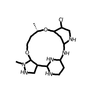 C[C@H]1CCOC2C(CNN2C)C2NCCC(NC3CC(O1)C(Cl)CN3)N2